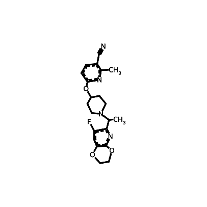 Cc1nc(OC2CCN(C(C)c3nc4c(cc3F)OCCO4)CC2)ccc1C#N